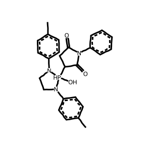 Cc1ccc(N2CCN(c3ccc(C)cc3)[PH]2(O)C2CC(=O)N(c3ccccc3)C2=O)cc1